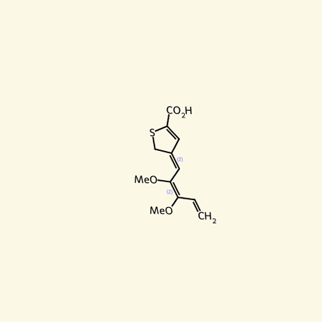 C=C/C(OC)=C(\C=C1\C=C(C(=O)O)SC1)OC